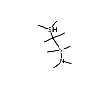 CN(C)[Si](C)(C)C(C)(C)[SiH](C)C